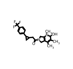 CC1=C(C)C(O)N(C)C2=C1CN(C(=O)CC1CC1c1ccc(C(F)(F)F)cc1)C2